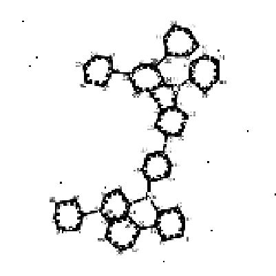 c1ccc(-c2ccc(N(c3ccc(-c4ccc5c(c4)c4cc(-c6ccccc6)cc(-c6ccccc6)c4n5-c4ccccc4)cc3)c3ccccc3-c3ccccc3)cc2)cc1